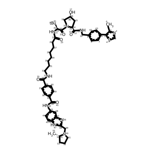 Cc1ncsc1-c1ccc(CNC(=O)[C@@H]2C[C@@H](O)CN2C(=O)[C@@H](NC(=O)CCCCCCCNC(=O)c2ccc(C(=O)Nc3ccc4[nH]c(CN5CCC[C@@H]5C)nc4c3)cc2)C(C)(C)C)cc1